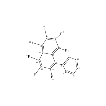 Fc1c(F)c(F)c2c(-c3bcccc3)c(F)c(F)c(F)c2c1F